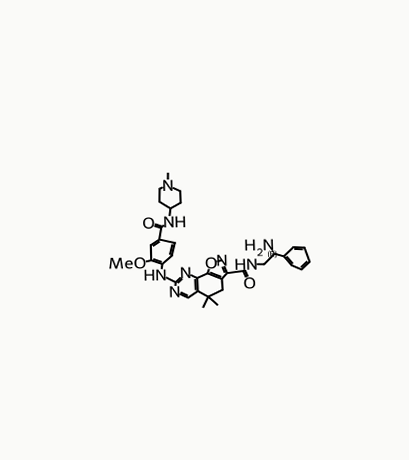 COc1cc(C(=O)NC2CCN(C)CC2)ccc1Nc1ncc2c(n1)-c1onc(C(=O)NC[C@H](N)c3ccccc3)c1CC2(C)C